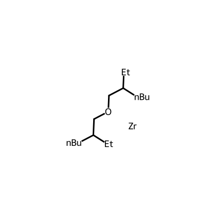 CCCCC(CC)COCC(CC)CCCC.[Zr]